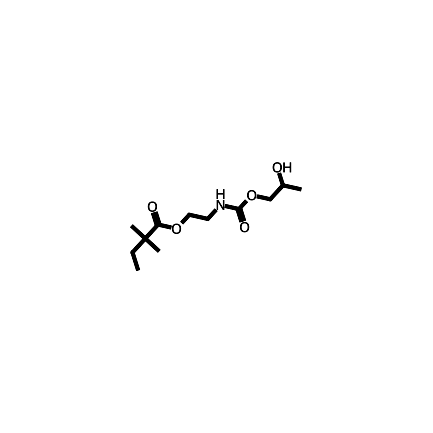 CCC(C)(C)C(=O)OCCNC(=O)OCC(C)O